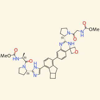 COC(=O)NCC(=O)N1CCC[C@H]1C1=Nc2cc(-c3ccc(-c4cnc([C@@H]5CCCN5C(=O)[C@H](C)NC(=O)OC)[nH]4)c4c3CC3CCC43)ccc2C2(COC2)N1